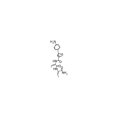 CC=C(NC(=O)c1csc(-c2ccc(N)cc2)n1)C(=O)N/C(=C/C)C(N)=O